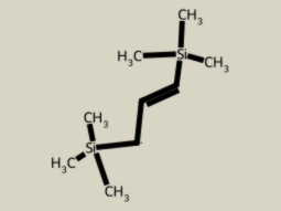 C[Si](C)(C)[CH]/C=C/[Si](C)(C)C